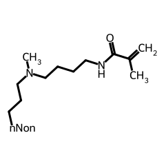 C=C(C)C(=O)NCCCCN(C)CCCCCCCCCCCC